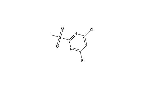 CS(=O)(=O)c1nc(Cl)cc(Br)n1